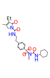 CCC1=C(C)CN(C(=O)NCCc2ccc(S(=O)(=O)N(I)C(=O)NC3CCCCC3)cc2)C1=O